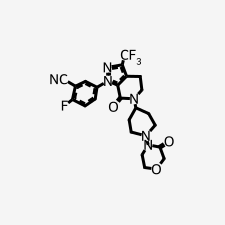 N#Cc1cc(-n2nc(C(F)(F)F)c3c2C(=O)N(C2CCN(N4CCOCC4=O)CC2)CC3)ccc1F